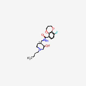 CCCCN1CC[C@@H](CNC(=O)c2ccc(F)c3c2OCCCO3)C(O)C1